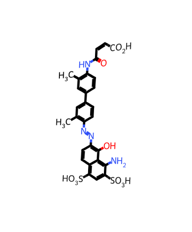 Cc1cc(-c2ccc(NC(=O)/C=C\C(=O)O)c(C)c2)ccc1/N=N/c1ccc2c(S(=O)(=O)O)cc(S(=O)(=O)O)c(N)c2c1O